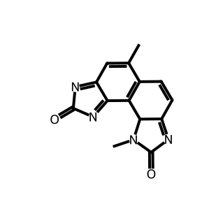 Cc1cc2c(c3c1C=CC1=NC(=O)N(C)C13)=NC(=O)N=2